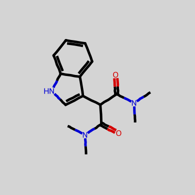 CN(C)C(=O)C(C(=O)N(C)C)c1c[nH]c2ccccc12